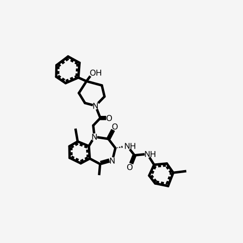 CC1=N[C@@H](NC(=O)Nc2cccc(C)c2)C(=O)N(CC(=O)N2CCC(O)(c3ccccc3)CC2)c2c(C)cccc21